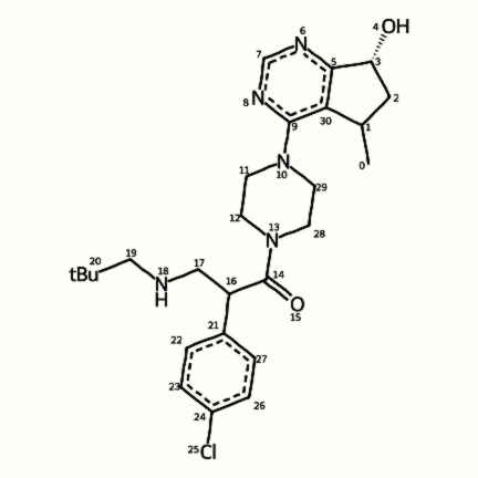 CC1C[C@@H](O)c2ncnc(N3CCN(C(=O)C(CNCC(C)(C)C)c4ccc(Cl)cc4)CC3)c21